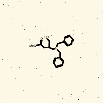 COC(=O)C[C@@H](CO)CN(Cc1ccccc1)Cc1ccccc1